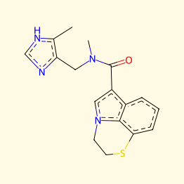 Cc1[nH]cnc1CN(C)C(=O)c1cn2c3c(cccc13)SCC2